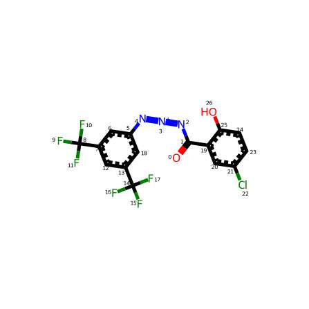 O=C(N=[N+]=Nc1cc(C(F)(F)F)cc(C(F)(F)F)c1)c1cc(Cl)ccc1O